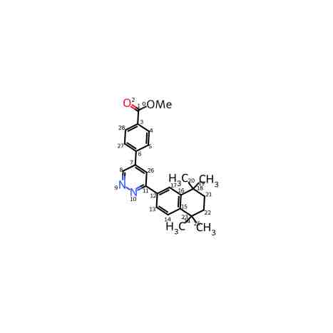 COC(=O)c1ccc(-c2cnnc(-c3ccc4c(c3)C(C)(C)CCC4(C)C)c2)cc1